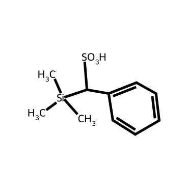 C[Si](C)(C)C(c1ccccc1)S(=O)(=O)O